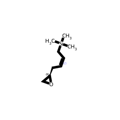 C[Si](C)(C)C/C=C\C[C@@H]1CO1